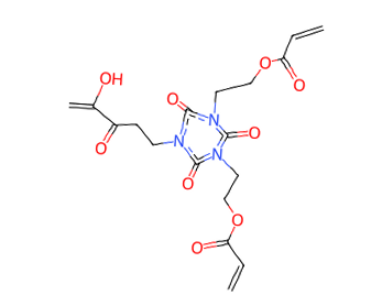 C=CC(=O)OCCn1c(=O)n(CCOC(=O)C=C)c(=O)n(CCC(=O)C(=C)O)c1=O